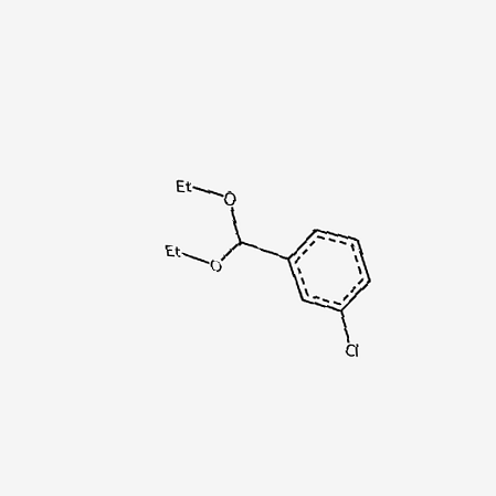 CCOC(OCC)c1cccc(Cl)c1